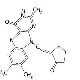 C=c1nc2c(c(=O)[nH]1)=Nc1cc(C)c(C)cc1N2C/C=C1\CCCC1=O